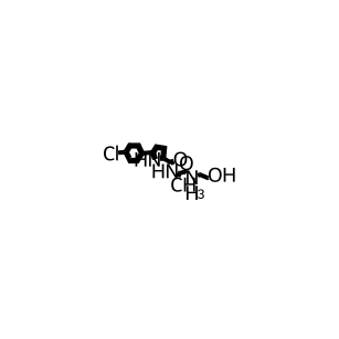 CC(NC(=O)c1ccc(-c2ccc(Cl)cc2)[nH]1)C(=O)NCCO